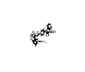 C=C(/C=C(\N=C/C)C(=O)c1cn(C)c2cc(F)cc(F)c12)N1CCC(n2c(=O)[nH]c3ncccc32)CC1